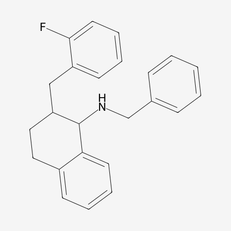 Fc1ccccc1CC1CCc2ccccc2C1NCc1ccccc1